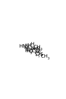 CSc1cccn2c(C(C)(C)NC(=O)[C@@H]3[C@@H]4CNC[C@@H]43)ncc12